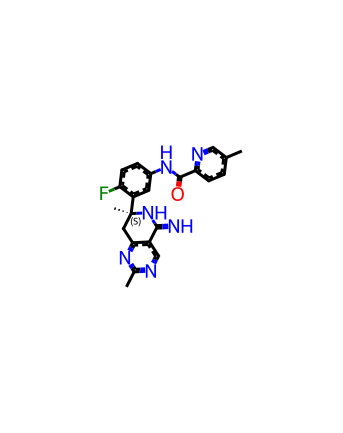 Cc1ccc(C(=O)Nc2ccc(F)c([C@]3(C)Cc4nc(C)ncc4C(=N)N3)c2)nc1